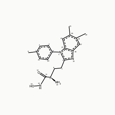 Cc1ccc(-n2c(CC[C@@H](N)C(=O)NO)nc3cc(C)c(C)cc32)cc1